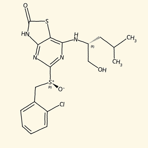 CC(C)C[C@H](CO)Nc1nc([S@@+]([O-])Cc2ccccc2Cl)nc2[nH]c(=O)sc12